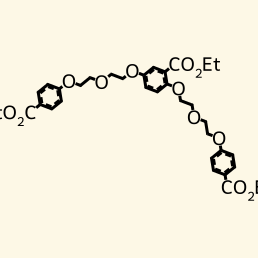 CCOC(=O)c1ccc(OCCOCCOc2ccc(OCCOCCOc3ccc(C(=O)OCC)cc3)c(C(=O)OCC)c2)cc1